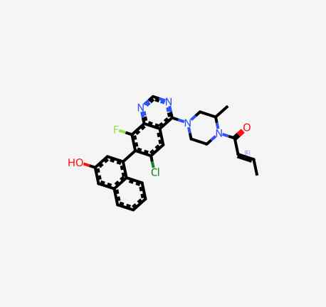 C/C=C/C(=O)N1CCN(c2ncnc3c(F)c(-c4cc(O)cc5ccccc45)c(Cl)cc23)CC1C